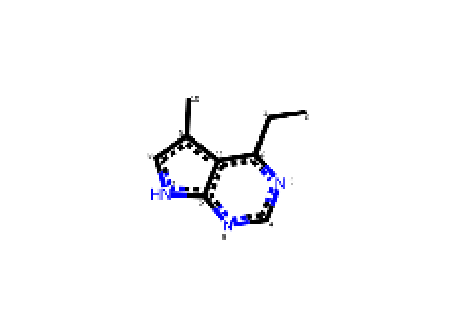 CCc1ncnc2[nH]cc(C)c12